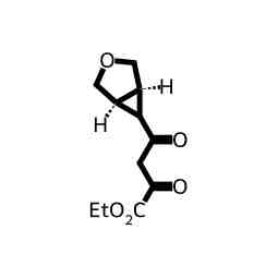 CCOC(=O)C(=O)CC(=O)C1[C@H]2COC[C@@H]12